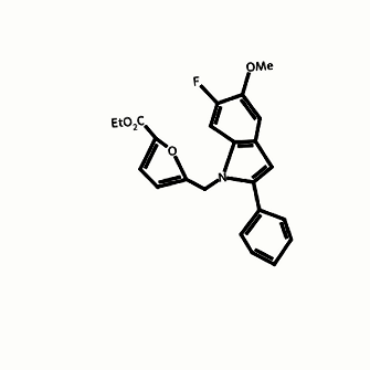 CCOC(=O)c1ccc(Cn2c(-c3ccccc3)cc3cc(OC)c(F)cc32)o1